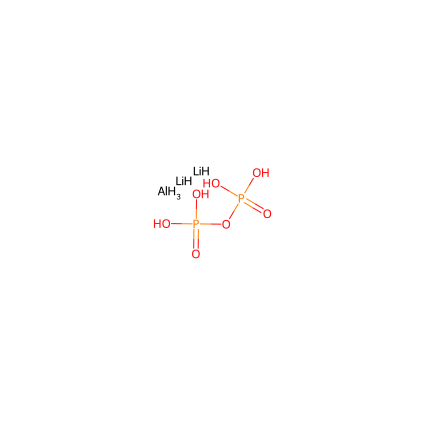 O=P(O)(O)OP(=O)(O)O.[AlH3].[LiH].[LiH]